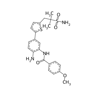 COc1ccc(C(=O)Nc2cc(-c3ccc(CC(C)(C)S(N)(=O)=O)s3)ccc2N)cc1